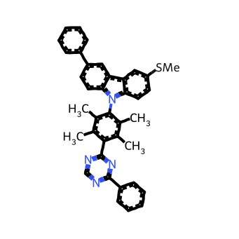 CSc1ccc2c(c1)c1cc(-c3ccccc3)ccc1n2-c1c(C)c(C)c(-c2ncnc(-c3ccccc3)n2)c(C)c1C